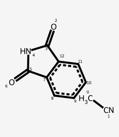 CC#N.O=C1NC(=O)c2ccccc21